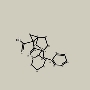 O=C(O)C12CC1(COC1CCCCO1)CCN(Cc1ccccc1)C2=O